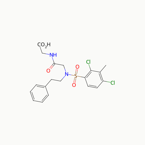 Cc1c(Cl)ccc(S(=O)(=O)N(CCc2ccccc2)CC(=O)NCC(=O)O)c1Cl